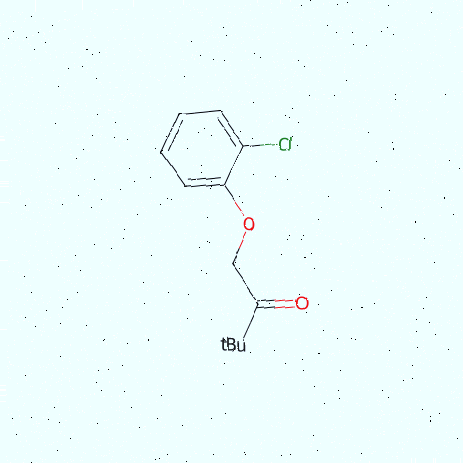 CC(C)(C)C(=O)COc1ccccc1Cl